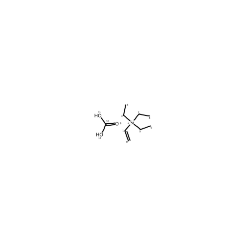 C=C[Si](CC)(CC)CC.O=C(O)O